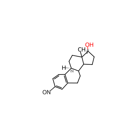 CC12CC[C@@H]3c4ccc(N=O)cc4CCC3C1CCC2O